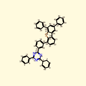 C1=CCC(c2nc(-c3ccccc3)nc(-c3cccc(-c4cccc5c4sc4c(-c6ccccc6)cc(-c6ccccc6)cc45)c3)n2)C=C1